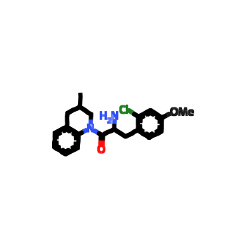 COc1ccc(CC(N)C(=O)N2CC(C)Cc3ccccc32)c(Cl)c1